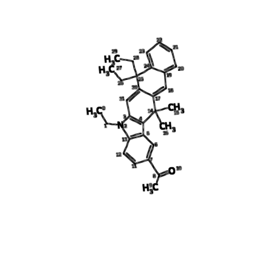 CCn1c2c(c3cc(C(C)=O)ccc31)C(C)(C)C1=Cc3ccccc3C(CC)(CC)C1=C2